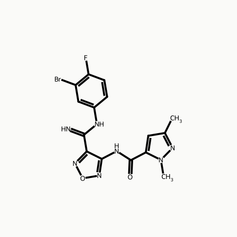 Cc1cc(C(=O)Nc2nonc2C(=N)Nc2ccc(F)c(Br)c2)n(C)n1